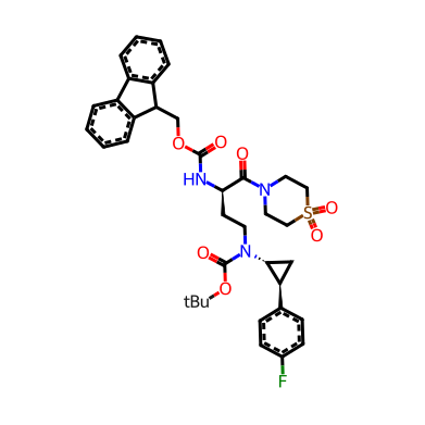 CC(C)(C)OC(=O)N(CC[C@@H](NC(=O)OCC1c2ccccc2-c2ccccc21)C(=O)N1CCS(=O)(=O)CC1)[C@@H]1C[C@H]1c1ccc(F)cc1